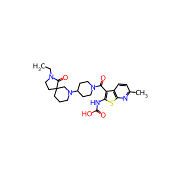 CCN1CCC2(CCCN(C3CCN(C(=O)c4c(NC(=O)O)sc5nc(C)ccc45)CC3)C2)C1=O